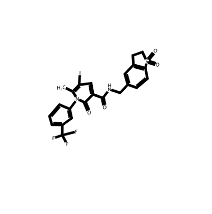 Cc1c(I)cc(C(=O)NCc2ccc3c(c2)CCS3(=O)=O)c(=O)n1-c1cccc(C(F)(F)F)c1